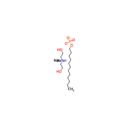 CCCCCCCCCCCCOP(=O)([O-])[O-].OCCNCCO.[Na+].[Na+]